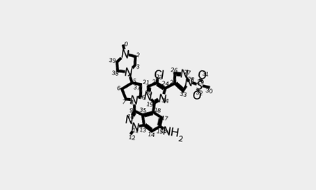 CN1CCN(C2CCN(c3nn(C)c4cc(N)cc(-c5ncc(Cl)c(-c6cnn(S(C)(=O)=O)c6)n5)c34)CC2)CC1